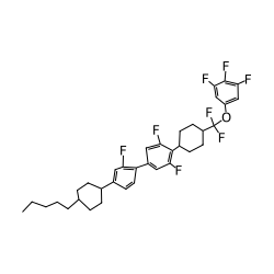 CCCCCC1CCC(c2ccc(-c3cc(F)c(C4CCC(C(F)(F)Oc5cc(F)c(F)c(F)c5)CC4)c(F)c3)c(F)c2)CC1